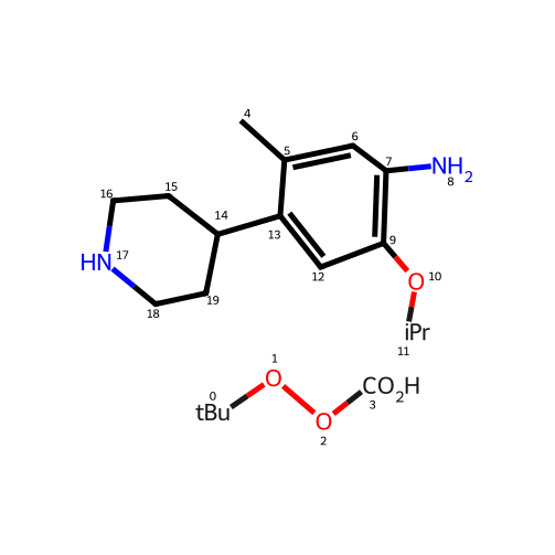 CC(C)(C)OOC(=O)O.Cc1cc(N)c(OC(C)C)cc1C1CCNCC1